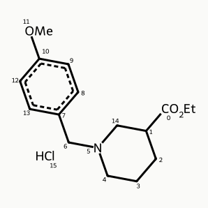 CCOC(=O)C1CCCN(Cc2ccc(OC)cc2)C1.Cl